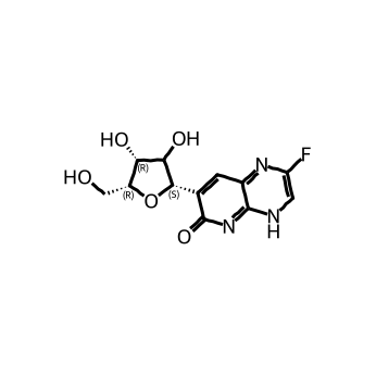 O=c1nc2[nH]cc(F)nc-2cc1[C@@H]1O[C@H](CO)[C@H](O)C1O